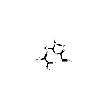 C=C(C)C(N)=O.C=CC(=O)OC(C)N(C)C